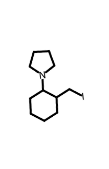 ICC1CCCCC1N1CCCC1